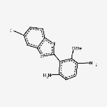 COc1c(N)ccc(N)c1-c1nc2ccc(Cl)cc2o1